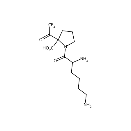 NCCCCC(N)C(=O)N1CCCC1(C(=O)O)C(=O)C(F)(F)F